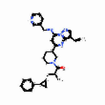 C=Cc1cnn2c(NCc3cccnc3)cc(C3CCCN(C(=O)C(C)C[C@@H]4C[C@H]4c4ccccc4)C3)nc12